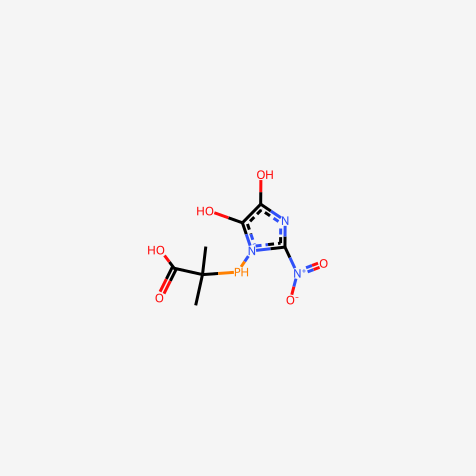 CC(C)(Pn1c([N+](=O)[O-])nc(O)c1O)C(=O)O